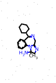 CC1(N)CN=C2CN=C(C3CCCCC3)c3ccccc3N21